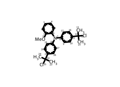 COc1ccccc1N(c1ccc(C(C)(C)Cl)cc1)c1ccc(C(C)(C)Cl)cc1